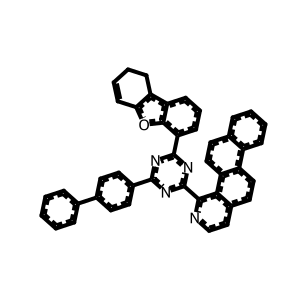 C1=Cc2oc3c(-c4nc(-c5ccc(-c6ccccc6)cc5)nc(-c5nccc6ccc7c8ccccc8ccc7c56)n4)cccc3c2CC1